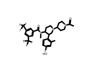 CC(=O)N1CCC(N2CCC(N(C)C(=O)c3cc(C(F)(F)F)cc(C(F)(F)F)c3)C(c3ccc(F)cc3C)C2)CC1.Cl